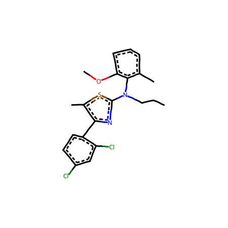 CCCN(c1nc(-c2ccc(Cl)cc2Cl)c(C)s1)c1c(C)cccc1OC